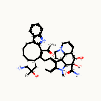 C/C=C1\C(=C/C/C2=C(\C(=O)OC)c3[nH]c4ccccc4c3CCCC[C@@H]2CC(O)(CC)CN)[C@]23CCN4CC=C[C@](CC)(C42)[C@@H](O)[C@](O)(C(N)=O)C3N1C